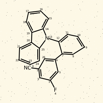 N#Cc1cc(F)cc(-c2ccccc2-n2c3ccccc3c3ccccc32)c1